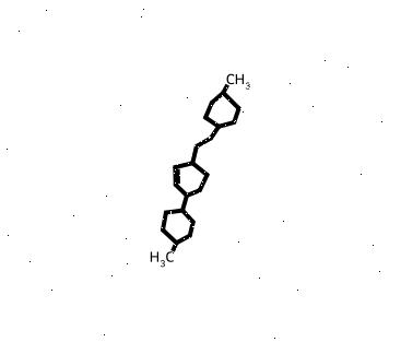 CC1CCC(CCC2C=CC(C3CCC(C)CC3)CC2)CC1